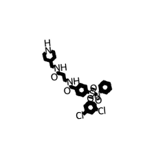 O=C(CCNC(=O)c1ccc(S(=O)(=O)N(Oc2ccc(Cl)cc2Cl)c2ccccc2)cc1)NCC1CCNCC1